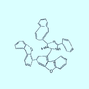 c1ccc(C2=NC(c3ccc4ccccc4c3)NC(c3cc(-c4cccc5c4oc4ccccc45)cc4oc5ccncc5c34)N2)cc1